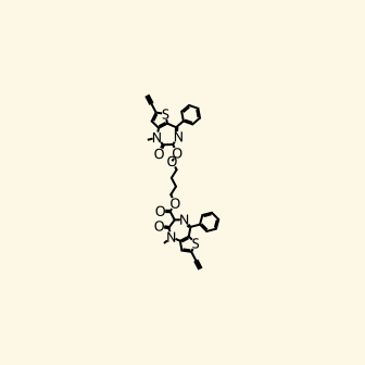 C#Cc1cc2c(s1)C(c1ccccc1)=NC(OOCCCCOC(=O)C1N=C(c3ccccc3)c3sc(C#C)cc3N(C)C1=O)C(=O)N2C